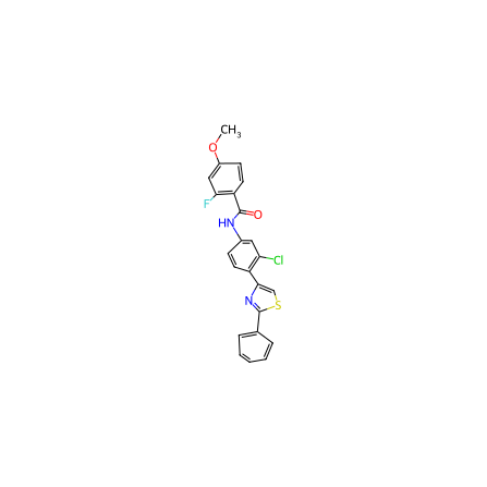 COc1ccc(C(=O)Nc2ccc(-c3csc(-c4ccccc4)n3)c(Cl)c2)c(F)c1